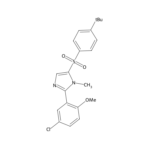 COc1ccc(Cl)cc1-c1ncc(S(=O)(=O)c2ccc(C(C)(C)C)cc2)n1C